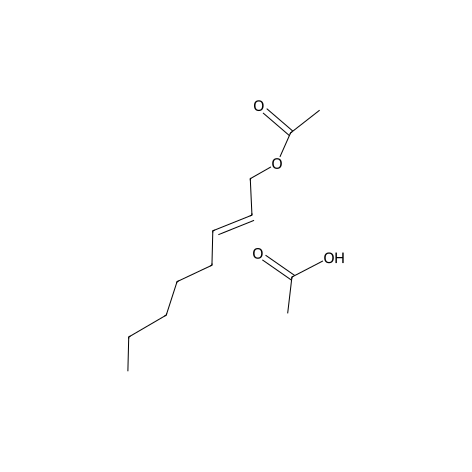 CC(=O)O.CCCCCC=CCOC(C)=O